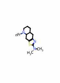 CCCN1CCCC2Cc3nc(N(C)C)sc3CC21